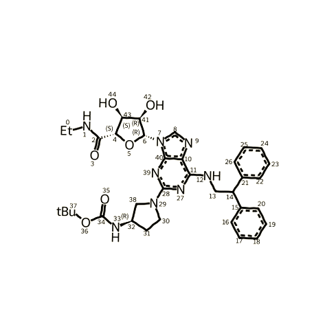 CCNC(=O)[C@H]1O[C@@H](n2cnc3c(NCC(c4ccccc4)c4ccccc4)nc(N4CC[C@@H](NC(=O)OC(C)(C)C)C4)nc32)[C@H](O)[C@@H]1O